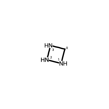 C1NNN1